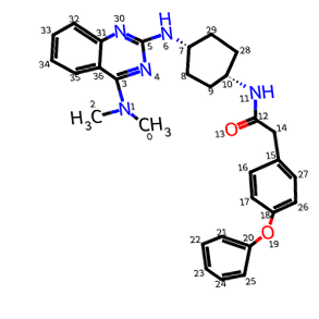 CN(C)c1nc(N[C@H]2CC[C@@H](NC(=O)Cc3ccc(Oc4ccccc4)cc3)CC2)nc2ccccc12